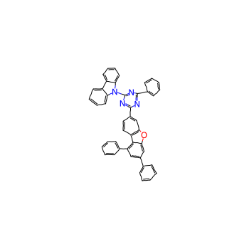 c1ccc(-c2cc(-c3ccccc3)c3c(c2)oc2cc(-c4nc(-c5ccccc5)nc(-n5c6ccccc6c6ccccc65)n4)ccc23)cc1